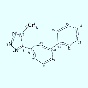 Cn1nnnc1-c1cccc(-c2ccccc2)c1